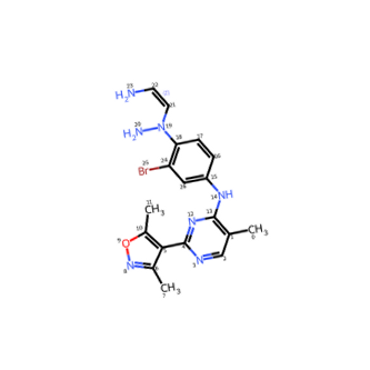 Cc1cnc(-c2c(C)noc2C)nc1Nc1ccc(N(N)/C=C\N)c(Br)c1